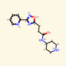 O=C(CCc1nc(-c2ccccn2)no1)NC1CCNCC1